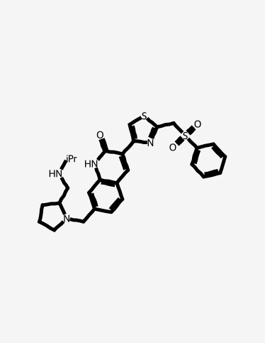 CC(C)NCC1CCCN1Cc1ccc2cc(-c3csc(CS(=O)(=O)c4ccccc4)n3)c(=O)[nH]c2c1